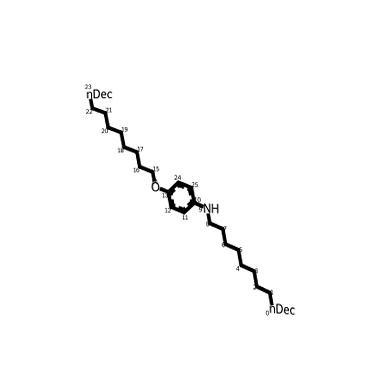 CCCCCCCCCCCCCCCCCCNc1ccc(OCCCCCCCCCCCCCCCCCC)cc1